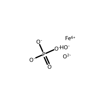 O=P([O-])([O-])[O-].[Fe+6].[O-2].[OH-]